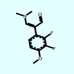 COc1ccc(/C(C=O)=C/N(C)C)c(F)c1F